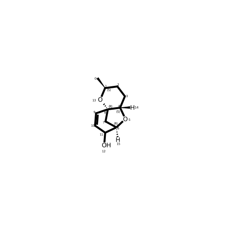 C[C@H]1CC[C@@H]2O[C@@H]3C[C@]2(C=CC3O)O1